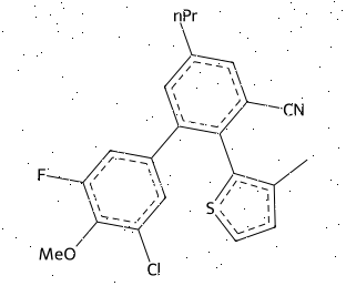 CCCc1cc(C#N)c(-c2sccc2C)c(-c2cc(F)c(OC)c(Cl)c2)c1